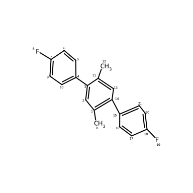 Cc1cc(-c2ccc(F)cc2)c(C)cc1-c1ccc(F)cc1